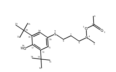 CC(=O)ON(C)CCCSc1cc(C(C)(C)C)c(O)c(C(C)(C)C)c1